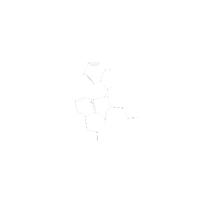 CC1Cc2c(O)ccc3c2c(c(CCO)n3Cc2cccc(Cl)c2)S1